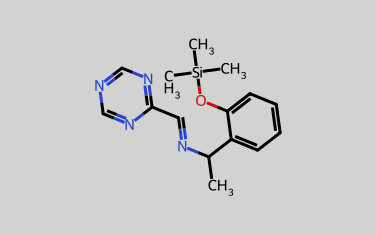 CC(N=Cc1ncncn1)c1ccccc1O[Si](C)(C)C